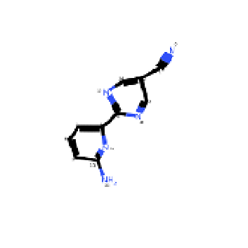 N#Cc1cnc(-c2cccc(N)n2)nc1